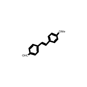 COc1ccc(C=Cc2ccc([C]=O)cc2)cc1